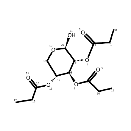 CCC(=O)O[C@@H]1[C@@H](OC(=O)CC)[C@H](OC(=O)CC)CO[C@H]1O